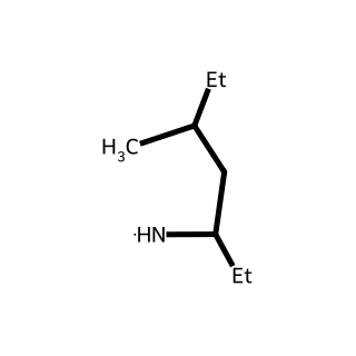 CCC(C)CC([NH])CC